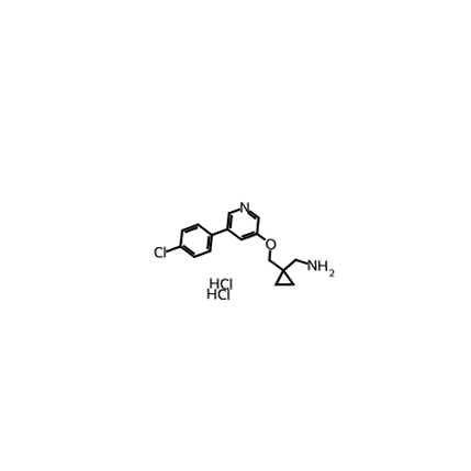 Cl.Cl.NCC1(COc2cncc(-c3ccc(Cl)cc3)c2)CC1